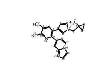 Cc1cc(-c2cnn(CC3(C(F)(F)F)CC3)c2)c(-c2ccn3ccnc3c2)nc1C#N